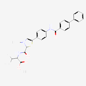 COC(=O)C(NC(=O)C1SC(c2ccc(NC(=O)c3ccc(-c4ccccc4)cc3)cc2)=CN1C)C(C)C